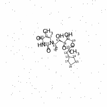 Cc1cn([C@H](F)C(O)[C@@H]2O[C@@](C)(CC3CCCC3)OCC2O)c(=O)[nH]c1=O